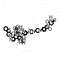 [2H]C([2H])([2H])n1cc(-c2ccnc(N3CCc4c(sc5c4CCCC5)C3=O)c2COC(C)OP(=O)(O)O)cc(Nc2ccc(N3CCN(C4CCN(c5ccc6c(c5)CN([C@H]5CCC(=O)NC5=O)C6=O)CC4)C[C@@H]3C)cn2)c1=O